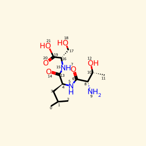 CC(C)C[C@H](NC(=O)[C@@H](N)[C@@H](C)O)C(=O)N[C@@H](CO)C(=O)O